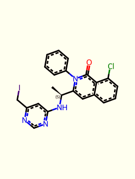 C[C@H](Nc1cc(CI)ncn1)c1cc2cccc(Cl)c2c(=O)n1-c1ccccc1